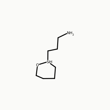 NCCC[SiH]1CCCCO1